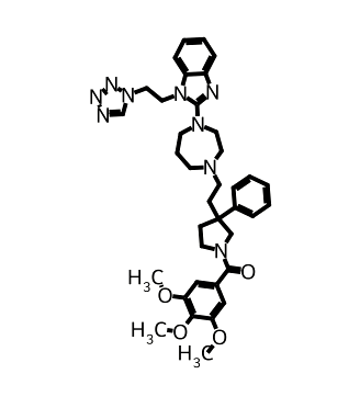 COc1cc(C(=O)N2CCC(CCN3CCCN(c4nc5ccccc5n4CCn4cnnn4)CC3)(c3ccccc3)C2)cc(OC)c1OC